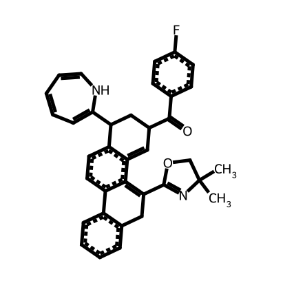 CC1(C)COC(C2=c3c(ccc4c3=CC(C(=O)c3ccc(F)cc3)CC4C3=CC=CC=CN3)-c3ccccc3C2)=N1